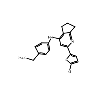 CCOC(=O)Cc1ccc(Nc2cc(-c3ccc(Cl)s3)nc3c2CCC3)cc1